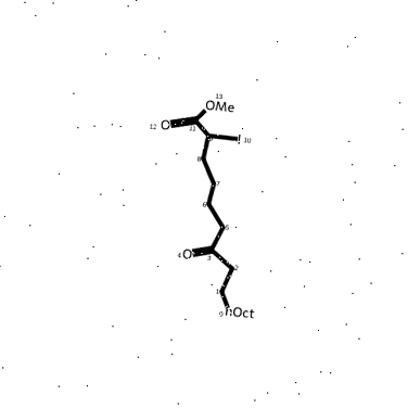 CCCCCCCCCCC(=O)CCCCC(I)C(=O)OC